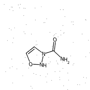 NC(=O)N1C=CON1